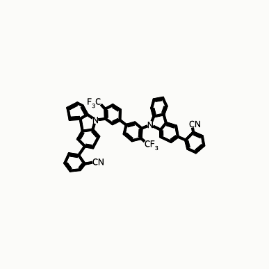 N#Cc1ccccc1-c1ccc2c(c1)c1ccccc1n2-c1cc(-c2ccc(C(F)(F)F)c(-n3c4ccccc4c4cc(-c5ccccc5C#N)ccc43)c2)ccc1C(F)(F)F